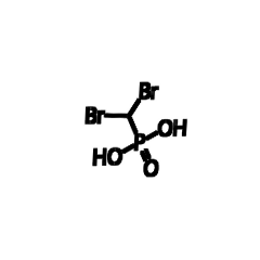 O=P(O)(O)C(Br)Br